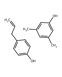 C=CCc1ccc(O)cc1.Cc1cc(C)cc(O)c1